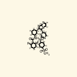 CS(=O)(=O)c1ccc(Nc2nccc(-c3c(-c4cccc(NC(=O)c5c(F)cccc5F)c4)nc4sccn34)n2)cc1